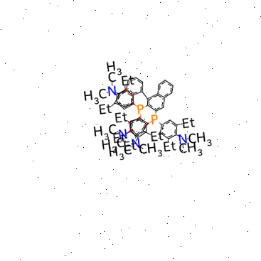 CCc1cc(P(c2cc(CC)c(N(C)C)c(CC)c2)c2cc3ccccc3c(-c3cccc4ccccc34)c2P(c2cc(CC)c(N(C)C)c(CC)c2)c2cc(CC)c(N(C)C)c(CC)c2)cc(CC)c1N(C)C